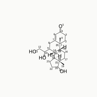 C[C@]12CCC(=O)C=C1CC(C(O)CO)[C@@H]1[C@H]2CC[C@]2(C)C(O)CC[C@@H]12